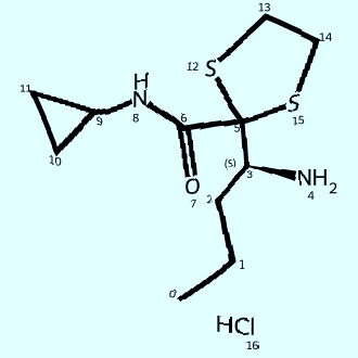 CCC[C@H](N)C1(C(=O)NC2CC2)SCCS1.Cl